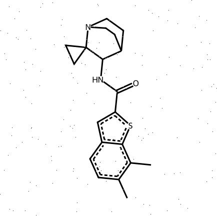 Cc1ccc2cc(C(=O)NC3C4CCN(CC4)C34CC4)sc2c1C